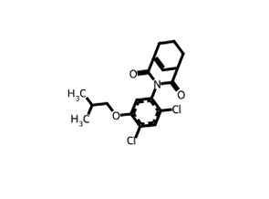 CC(C)COc1cc(N2C(=O)C3=CC(CCC3)C2=O)c(Cl)cc1Cl